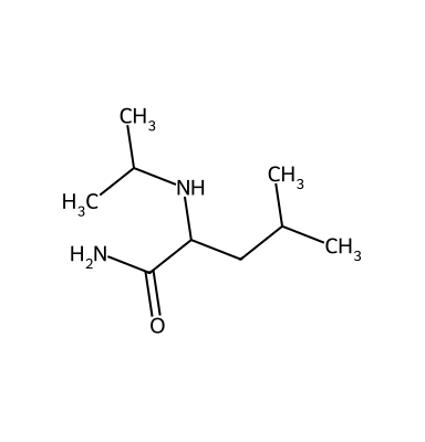 CC(C)CC(NC(C)C)C(N)=O